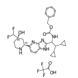 O=C(NC(c1nc2nc([C@@H]3C[C@@](O)(C(F)F)CCN3)ccc2[nH]1)C(C1CC1)C1CC1)OCc1ccccc1.O=C(O)C(F)(F)F